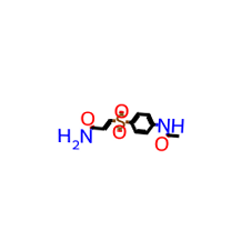 CC(=O)Nc1ccc(S(=O)(=O)C=CC(N)=O)cc1